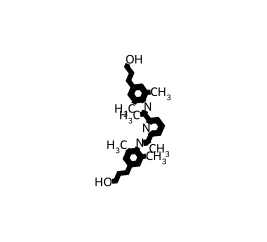 C/C(=N\c1c(C)cc(CCCO)cc1C)c1cccc(/C(C)=N/c2c(C)cc(CCCO)cc2C)n1